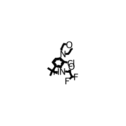 CC(C)(C)c1ccc(N2CCOCC2)c(Cl)c1NC(=O)C(F)F